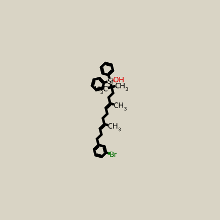 C/C(=C\CCc1cccc(Br)c1)CC/C=C(\C)CCC(C)(C)[Si](O)(c1ccccc1)c1ccccc1